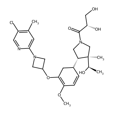 COC1=C(OC2CN(c3cc(C)c(Cl)cn3)C2)CC([C@@H]2CN(C(=O)[C@@H](O)CO)C[C@@]2(C)[C@@H](C)O)C=C1